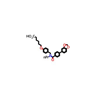 CCCN(Cc1ccc(OCCCCCC(=O)O)cc1)C(=O)c1ccc(-c2ccc3c(c2)OCO3)cc1